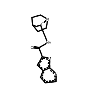 O=C(NC1CC2CCN(CC2)C1)c1cc2cccnc2o1